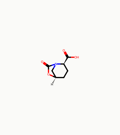 O=C(O)[C@H]1CC[C@@H]2CN1C(=O)O2